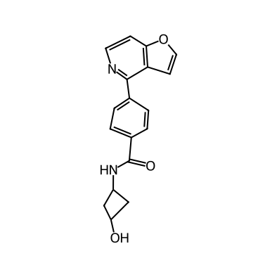 O=C(NC1CC(O)C1)c1ccc(-c2nccc3occc23)cc1